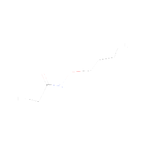 CCCCONC(=O)CC